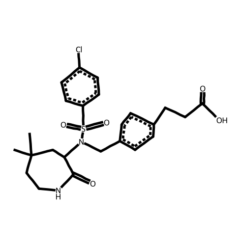 CC1(C)CCNC(=O)C(N(Cc2ccc(CCC(=O)O)cc2)S(=O)(=O)c2ccc(Cl)cc2)C1